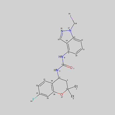 CCC1(CC)CC(NC(=O)Nc2cccc3c2cnn3CI)c2ccc(F)cc2O1